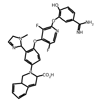 CN1CC=NC1c1cc(N2CC3C=CC=CC3=CC2C(=O)O)ccc1Oc1c(F)cnc(Oc2cc(C(=N)N)ccc2O)c1F